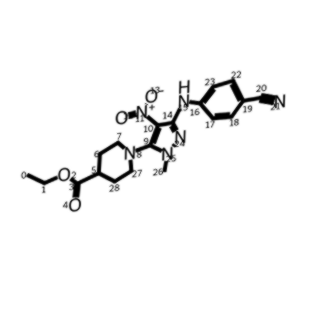 CCOC(=O)C1CCN(c2c([N+](=O)[O-])c(Nc3ccc(C#N)cc3)nn2C)CC1